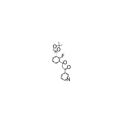 CC1(C)OC[C@@H](c2cccc(C(=O)CC(=O)c3cccnc3)c2F)O1